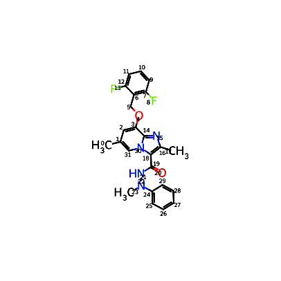 Cc1cc(OCc2c(F)cccc2F)c2nc(C)c(C(=O)NN(C)c3ccccc3)n2c1